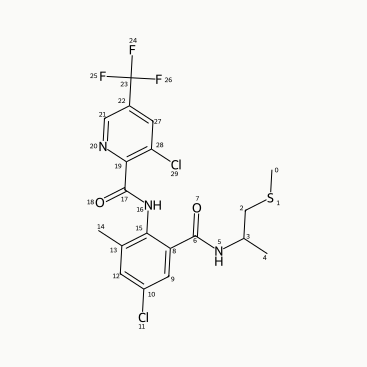 CSCC(C)NC(=O)c1cc(Cl)cc(C)c1NC(=O)c1ncc(C(F)(F)F)cc1Cl